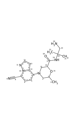 CC1CN(c2ccc(C#N)n3nccc23)CC(C(=O)NC(C)(C)CN)O1